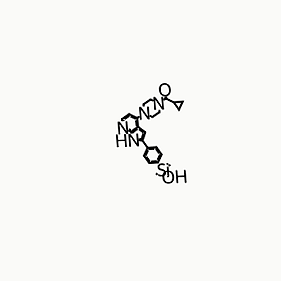 C[Si](C)(O)c1ccc(-c2cc3c(N4CCN(C(=O)C5CC5)CC4)ccnc3[nH]2)cc1